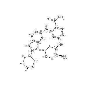 NC(=O)c1nnc(N[C@@H]2CCOC[C@@H]2N)nc1Nc1ccc2nn(C3CCOCC3)cc2c1